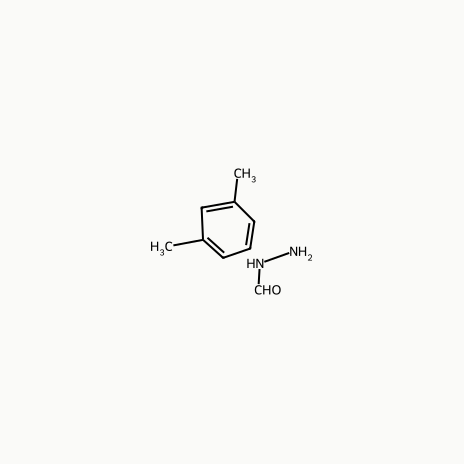 Cc1cccc(C)c1.NNC=O